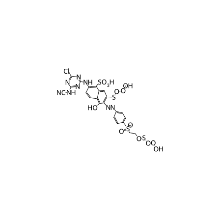 N#CNc1nc(Cl)nc(Nc2ccc3c(O)c(/N=N/c4ccc(S(=O)(=O)CCOSOOO)cc4)c(SOOO)cc3c2S(=O)(=O)O)n1